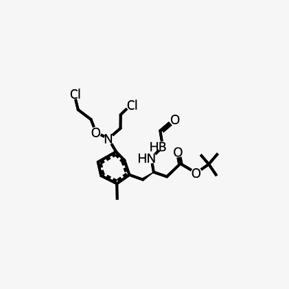 Cc1ccc(N(CCCl)OCCCl)cc1C[C@H](CC(=O)OC(C)(C)C)NBC=O